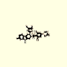 Cc1ccc2c3c([nH]c2c1)CC[C@](NC(=O)c1c(Cl)cc(-n2cnc(C)n2)cc1Cl)(c1nc(C)c(C)s1)C3